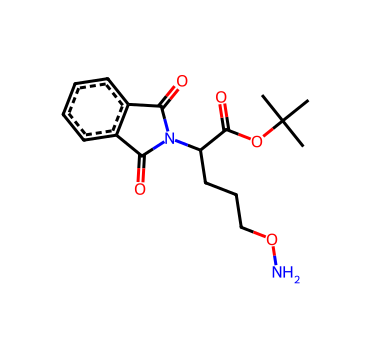 CC(C)(C)OC(=O)C(CCCON)N1C(=O)c2ccccc2C1=O